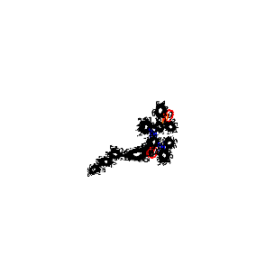 O=P(c1ccccc1)(c1ccccc1)c1ccc2c(c1)c1ccccc1n2-c1cc(-n2c3ccccc3c3ccccc32)c2oc3ccc(-c4cccc(-c5ccc(-c6ccccc6)cc5)c4)cc3c2c1